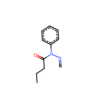 C=NN(C(=O)CCC)c1ccccc1